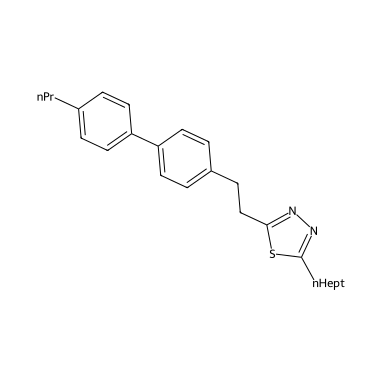 CCCCCCCc1nnc(CCc2ccc(-c3ccc(CCC)cc3)cc2)s1